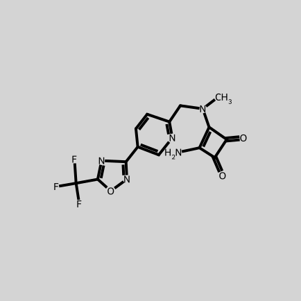 CN(Cc1ccc(-c2noc(C(F)(F)F)n2)cn1)c1c(N)c(=O)c1=O